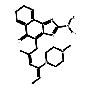 C/C=C(\C=C(\C)CC1=C2N=C(N(CC)CC)N=C2C2=CCCC=C2C1=O)N1CCN(C)CC1